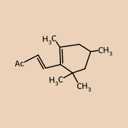 CC(=O)/C=C/C1=C(C)CC(C)CC1(C)C